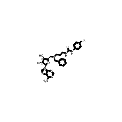 CC(C)(C)c1ccc(NC(=O)NCCCN(Cc2ccccc2)C[C@H]2O[C@@H](n3cnc4c(N)ncnc43)[C@H](O)[C@H]2O)cc1